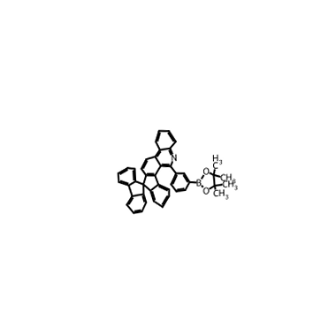 CC1(C)OB(c2cccc(-c3nc4ccccc4c4ccc5c(c34)-c3ccccc3C53c4ccccc4-c4ccccc43)c2)OC1(C)C